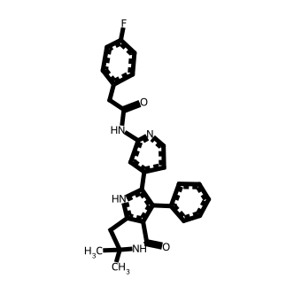 CC1(C)Cc2[nH]c(-c3ccnc(NC(=O)Cc4ccc(F)cc4)c3)c(-c3ccccc3)c2C(=O)N1